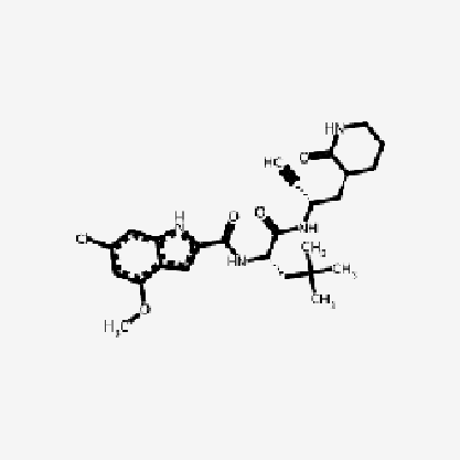 C#C[C@H](C[C@@H]1CCCNC1=O)NC(=O)[C@H](CC(C)(C)C)NC(=O)c1cc2c(OC)cc(Cl)cc2[nH]1